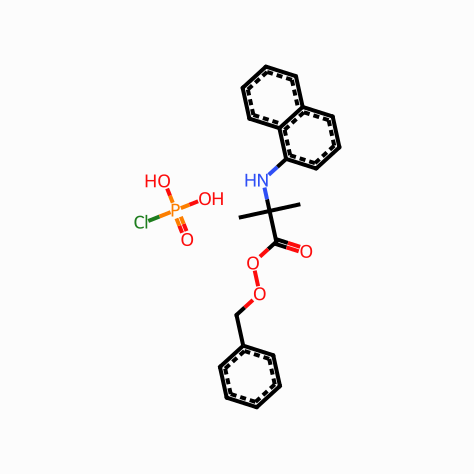 CC(C)(Nc1cccc2ccccc12)C(=O)OOCc1ccccc1.O=P(O)(O)Cl